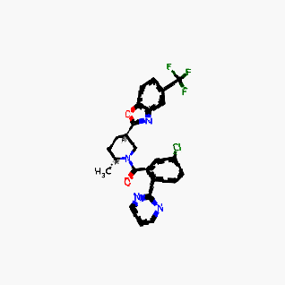 C[C@@H]1CC[C@@H](c2nc3cc(C(F)(F)F)ccc3o2)CN1C(=O)c1cc(Cl)ccc1-c1ncccn1